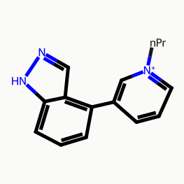 CCC[n+]1cccc(-c2cccc3[nH]ncc23)c1